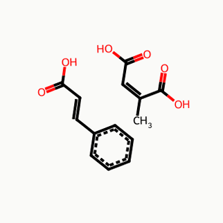 C/C(=C/C(=O)O)C(=O)O.O=C(O)C=Cc1ccccc1